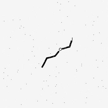 CCCOCI